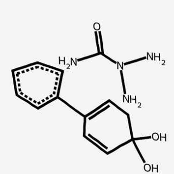 NC(=O)N(N)N.OC1(O)C=CC(c2ccccc2)=CC1